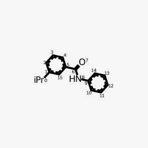 CC(C)c1cccc(C(=O)Nc2ccccc2)c1